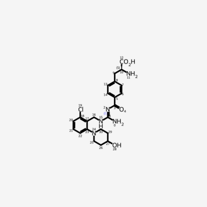 N/C(=N\C(=O)c1ccc(C[C@H](N)C(=O)O)cc1)NCc1c(Cl)cccc1N1CCC(O)CC1